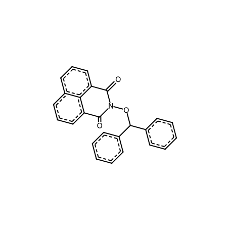 O=C1c2cccc3cccc(c23)C(=O)N1OC(c1ccccc1)c1ccccc1